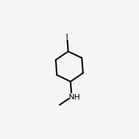 CNC1CCC(I)CC1